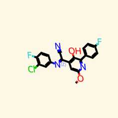 COc1cc(/C(C#N)=N/c2ccc(F)c(Cl)c2)c(O)c(-c2ccc(F)cc2)n1